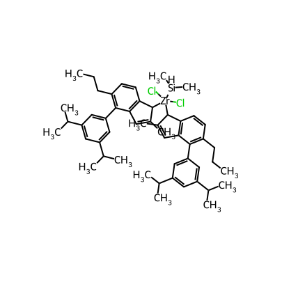 CCCc1ccc2c(c1-c1cc(C(C)C)cc(C(C)C)c1)C=C(C)[CH]2[Zr]([Cl])([Cl])([CH]1C(C)=Cc2c1ccc(CCC)c2-c1cc(C(C)C)cc(C(C)C)c1)[SiH](C)C